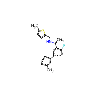 C=C(NCc1ccc(C)s1)c1cc(-c2cccc(C)c2)ccc1F